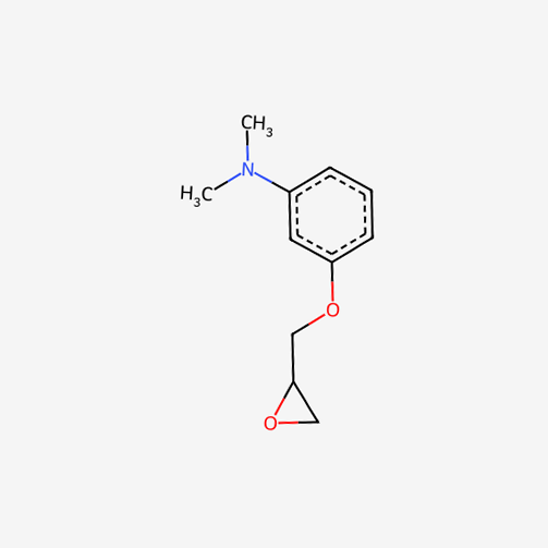 CN(C)c1cccc(OCC2CO2)c1